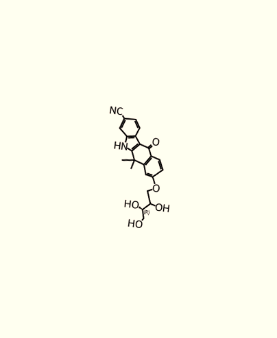 CC1(C)c2cc(OCC(O)[C@H](O)CO)ccc2C(=O)c2c1[nH]c1cc(C#N)ccc21